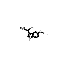 COc1ccc2[nH]cc(C(O)CN)c2c1